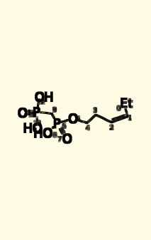 CC/C=C\CCOP(=O)(O)CP(=O)(O)O